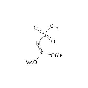 COS(=NS(=O)(=O)C(F)(F)F)OC